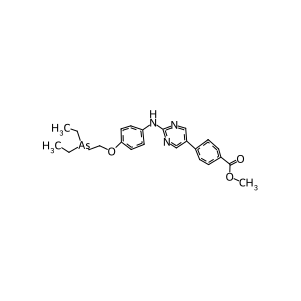 CC[As](CC)CCOc1ccc(Nc2ncc(-c3ccc(C(=O)OC)cc3)cn2)cc1